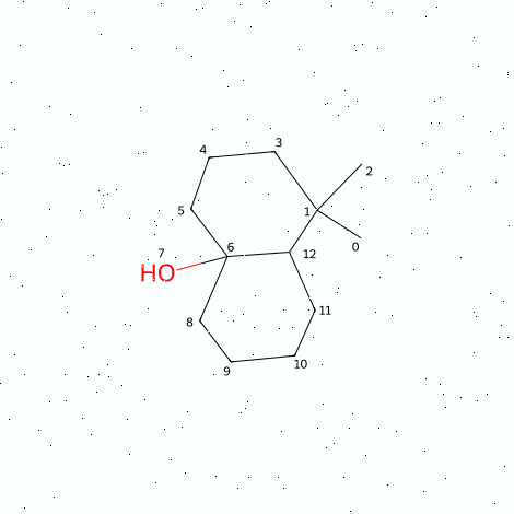 CC1(C)CCCC2(O)CCCCC12